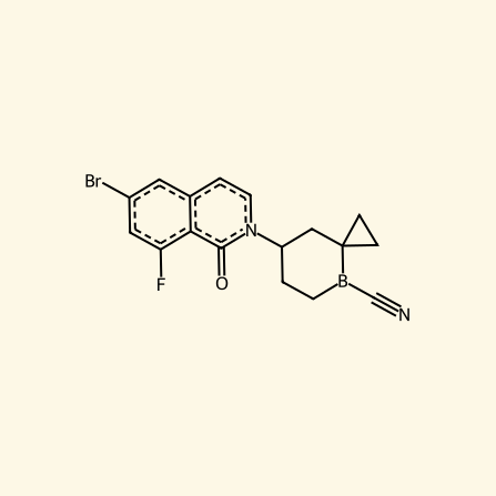 N#CB1CCC(n2ccc3cc(Br)cc(F)c3c2=O)CC12CC2